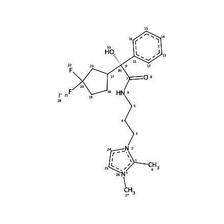 Cc1n(CCCNC(=O)[C@](O)(c2ccccc2)C2CCC(F)(F)C2)cc[n+]1C.[I-]